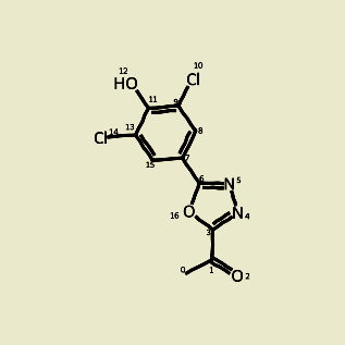 CC(=O)c1nnc(-c2cc(Cl)c(O)c(Cl)c2)o1